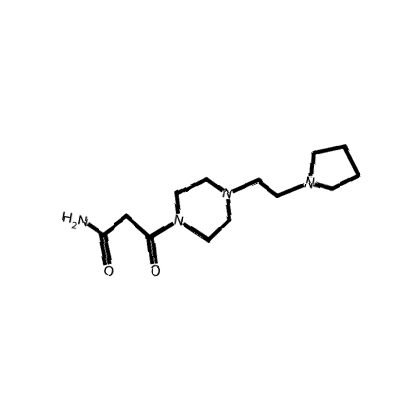 NC(=O)CC(=O)N1CCN(CCN2CCCC2)CC1